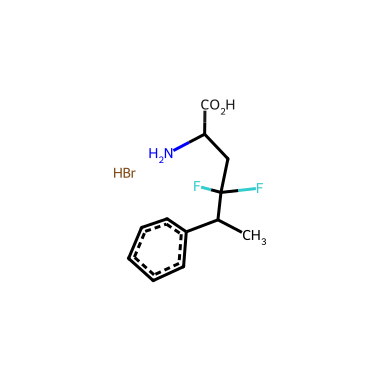 Br.CC(c1ccccc1)C(F)(F)CC(N)C(=O)O